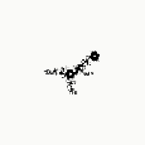 COC(=O)[C@@](N)(CCOC(=O)Oc1ccccc1)Cc1ccc(OC(=O)OCC(C)(C)C)c(OC(=O)OCC(C)(C)C)c1